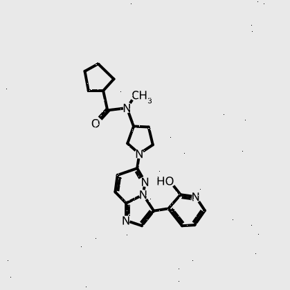 CN(C(=O)C1CCCC1)C1CCN(c2ccc3ncc(-c4cccnc4O)n3n2)C1